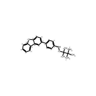 BC(C)(C)C(C)(C)OBc1ccc(-c2ccc3sc4ccccc4c3c2)cc1